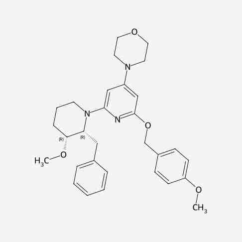 COc1ccc(COc2cc(N3CCOCC3)cc(N3CCC[C@@H](OC)[C@H]3Cc3ccccc3)n2)cc1